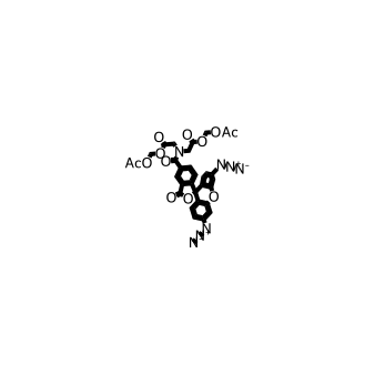 CC(=O)OCOC(=O)CN(CC(=O)OCOC(C)=O)C(=O)c1ccc2c(c1)C(=O)OC21c2ccc(N=[N+]=[N-])cc2Oc2cc(N=[N+]=[N-])ccc21